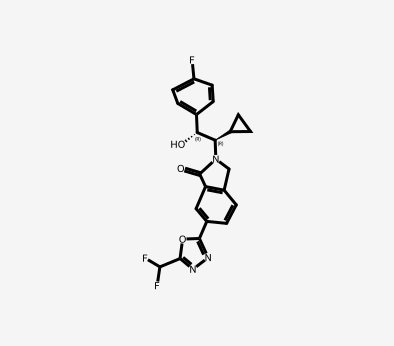 O=C1c2cc(-c3nnc(C(F)F)o3)ccc2CN1[C@H](C1CC1)[C@H](O)c1ccc(F)cc1